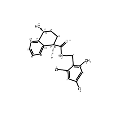 Cc1cc(Cl)cc(Cl)c1CNC(=O)[C@]1(F)CC[C@H](O)c2ncccc21